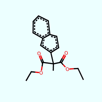 CCOC(=O)C(C)(C(=O)OCC)c1ccc2ccccc2c1